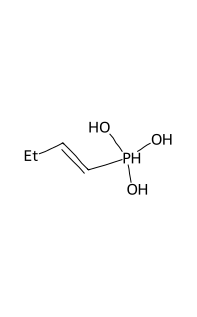 CCC=C[PH](O)(O)O